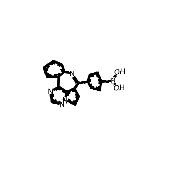 OB(O)c1ccc(C2=Nc3ccccc3-c3ncnn4ccc2c34)cc1